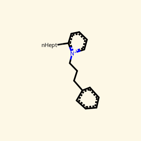 CCCCCCCc1cccc[n+]1CCCc1ccccc1